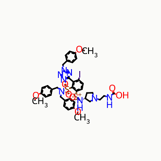 COc1ccc(CN(Cc2ccc(OC)cc2)S(=O)(=O)c2c([S+]([O-])N[C@@H]3CCN(CCNC(=O)O)C3)ccc(I)c2-c2nnn(Cc3ccc(OC)cc3)n2)cc1